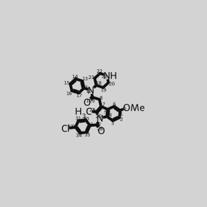 COc1ccc2c(c1)c(CC(=O)N(c1ccccc1)C1CCNCC1)c(C)n2C(=O)c1ccc(Cl)cc1